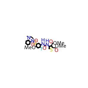 COC(=O)c1scc(NC(=O)Nc2cc(S(=O)(=O)N3CCN(C)c4ccccc43)c(OC)cc2F)c1C(=O)OC